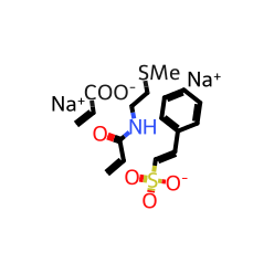 C=CC(=O)NCCSC.C=CC(=O)[O-].O=S(=O)([O-])C=Cc1ccccc1.[Na+].[Na+]